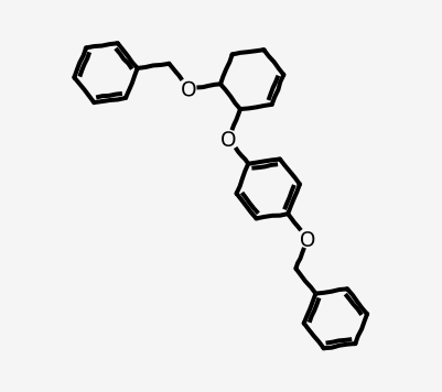 C1=CC(Oc2ccc(OCc3ccccc3)cc2)C(OCc2ccccc2)CC1